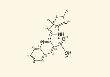 CCCC1(C)N=C(c2nc3ccccc3cc2C(=O)O)NC1=O